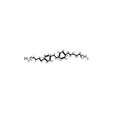 CCC/C=C/c1ccc(CCc2ccc(CCCCCC)cc2)cc1